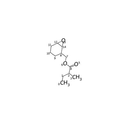 CCC(C)C(=O)OCC1CCCC2OC12